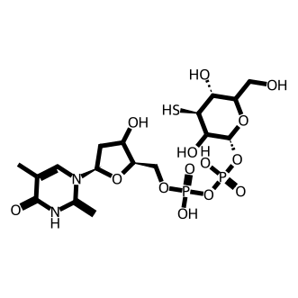 C=C1NC(=O)C(C)=CN1[C@H]1CC(O)[C@@H](COP(=O)(O)OP(=O)(O)O[C@H]2OC(CO)[C@@H](O)[C@H](S)C2O)O1